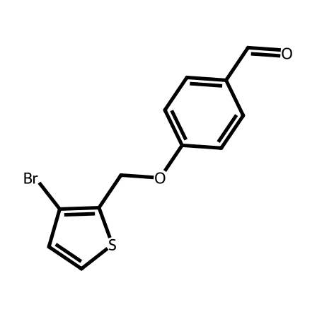 O=Cc1ccc(OCc2sccc2Br)cc1